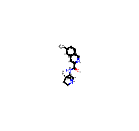 Cc1ccc2cnc(C(=O)NC3CN4CC[C@H]3C4)cc2c1